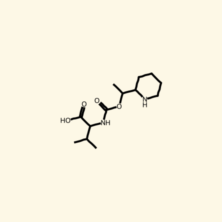 CC(C)C(NC(=O)OC(C)C1CCCCN1)C(=O)O